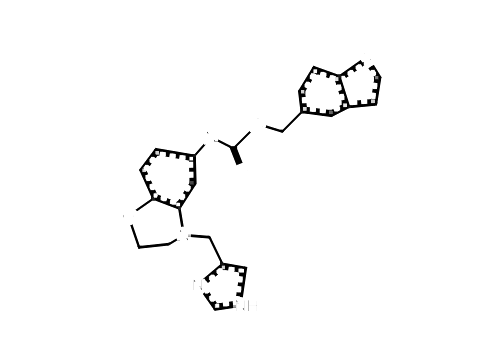 O=C(Nc1ccc2c(c1)N(Cc1c[nH]cn1)CCO2)OCc1ccc2sccc2c1